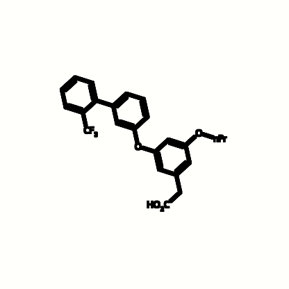 CCCOc1cc(CC(=O)O)cc(Oc2cccc(-c3ccccc3C(F)(F)F)c2)c1